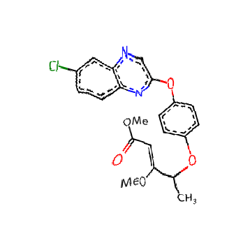 COC(=O)C=C(OC)C(C)Oc1ccc(Oc2cnc3cc(Cl)ccc3n2)cc1